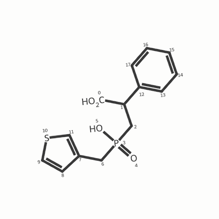 O=C(O)C(CP(=O)(O)Cc1ccsc1)c1ccccc1